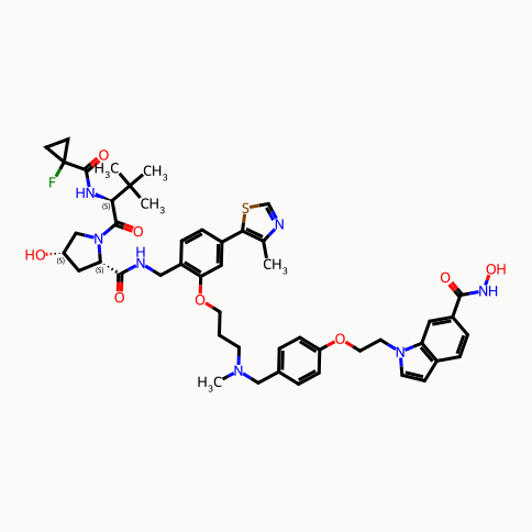 Cc1ncsc1-c1ccc(CNC(=O)[C@@H]2C[C@H](O)CN2C(=O)[C@@H](NC(=O)C2(F)CC2)C(C)(C)C)c(OCCCN(C)Cc2ccc(OCCn3ccc4ccc(C(=O)NO)cc43)cc2)c1